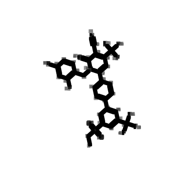 CCS(=O)(=O)c1cc(-c2ccc(-c3cc(C(F)(F)F)c(C#N)c(=O)n3Cc3ccc(F)cc3F)cc2)cc(C(F)(F)F)c1